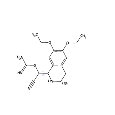 Br.CCOc1cc2c(cc1OCC)/C(=C(/C#N)SC(=N)N)NCC2